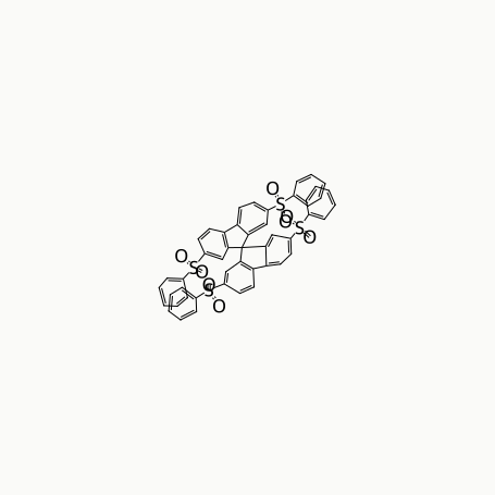 O=S(=O)(c1ccccc1)c1ccc2c(c1)C1(c3cc(S(=O)(=O)c4ccccc4)ccc3-2)c2cc(S(=O)(=O)c3ccccc3)ccc2-c2ccc(S(=O)(=O)c3ccccc3)cc21